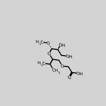 CO[C@@H](OC(COCC(=O)O)C(C)C)[C@@H](O)CO